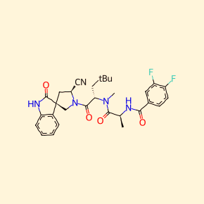 C[C@H](NC(=O)c1ccc(F)c(F)c1)C(=O)N(C)[C@@H](CC(C)(C)C)C(=O)N1C[C@]2(C[C@H]1C#N)C(=O)Nc1ccccc12